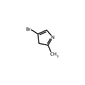 CC1=NC=C(Br)C1